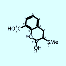 CSC1Cc2cccc(C(=O)O)c2OB1O